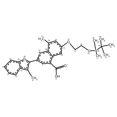 Cc1c(-c2cc(C(=O)O)c3cc(OCCO[Si](C)(C)C(C)(C)C)cc(C)c3n2)oc2ccccc12